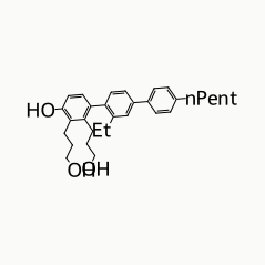 CCCCCc1ccc(-c2ccc(-c3ccc(O)c(CCCO)c3CCCO)c(CC)c2)cc1